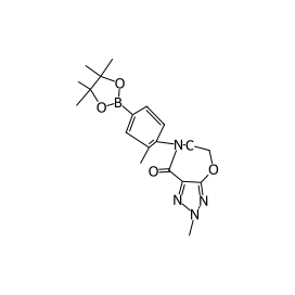 Cc1cc(B2OC(C)(C)C(C)(C)O2)ccc1N1CCOc2nn(C)nc2C1=O